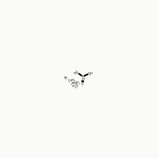 O.O=[PH](O)O.[CaH2].[MgH2].[Ni]